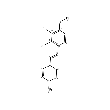 CCCC1C=CC(/C=C/c2ccc(OCC)c(F)c2F)CC1